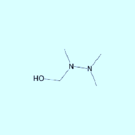 CN(C)N(C)CO